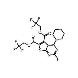 O=C(OCC(F)(F)F)c1sc2nc(F)nc(N3CCCCC3)c2c1C(=O)OCC(F)(F)F